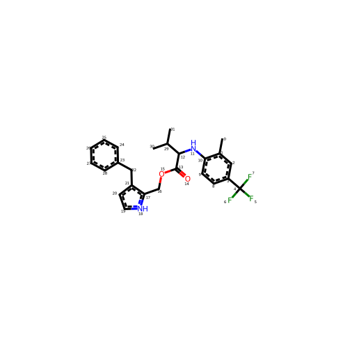 Cc1cc(C(F)(F)F)ccc1NC(C(=O)OCc1[nH]ccc1Cc1ccccc1)C(C)C